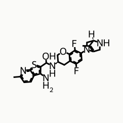 CC1=C2CN[C@@H]1CN2c1cc(F)c2c(c1F)OC[C@H](NC(O)c1sc3nc(C)ccc3c1N)C2